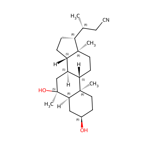 C[C@H](CC#N)[C@H]1CC[C@H]2[C@@H]3C[C@](C)(O)[C@@H]4C[C@H](O)CC[C@]4(C)[C@H]3CC[C@]12C